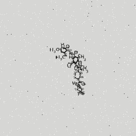 CSc1cc(C)[nH]c(=O)c1CNC(=O)c1cc(Cl)c2c(c1C)O[C@](C)([C@H]1CC[C@H](C(=O)NN3CC(F)(F)C3)CC1)O2